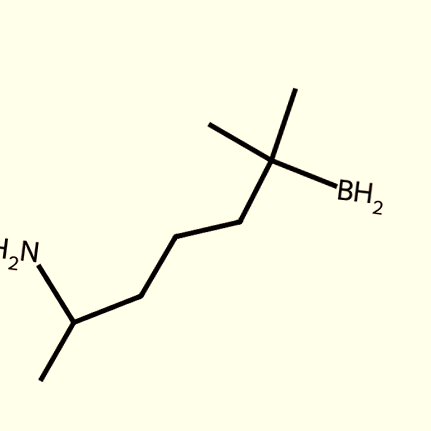 BC(C)(C)CCCC(C)N